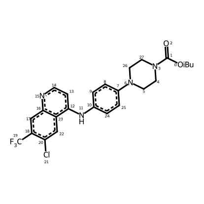 CC(C)COC(=O)N1CCN(c2ccc(Nc3ccnc4cc(C(F)(F)F)c(Cl)cc34)cc2)CC1